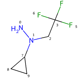 NN(CC(F)(F)F)C1CC1